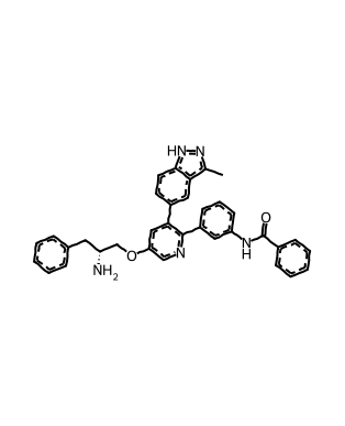 Cc1n[nH]c2ccc(-c3cc(OC[C@H](N)Cc4ccccc4)cnc3-c3cccc(NC(=O)c4ccccc4)c3)cc12